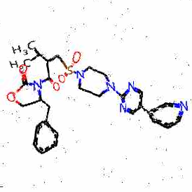 CC(C)C(CS(=O)(=O)N1CCN(c2ncc(-c3cccnc3)cn2)CC1)C(=O)N1C(=O)OCC1Cc1ccccc1